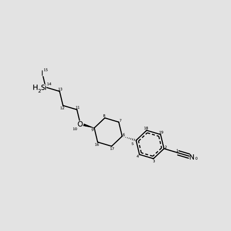 N#Cc1ccc([C@H]2CC[C@H](OCCC[SiH2]I)CC2)cc1